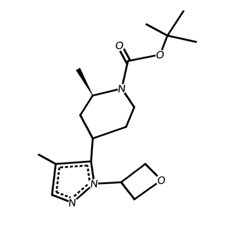 Cc1cnn(C2COC2)c1C1CCN(C(=O)OC(C)(C)C)[C@H](C)C1